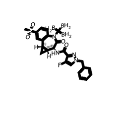 BC(B)(B)N1C(=O)[C@H](NC(=O)c2nn(Cc3ccccc3)cc2F)[C@@H]2C[C@@H]2c2cc(S(C)(=O)=O)ccc21